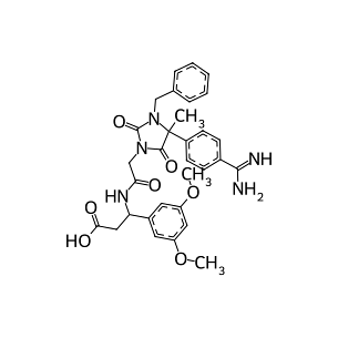 COc1cc(OC)cc(C(CC(=O)O)NC(=O)CN2C(=O)N(Cc3ccccc3)C(C)(c3ccc(C(=N)N)cc3)C2=O)c1